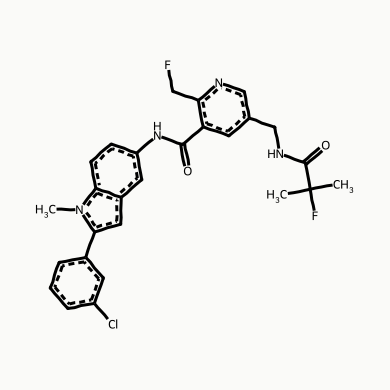 Cn1c(-c2cccc(Cl)c2)cc2cc(NC(=O)c3cc(CNC(=O)C(C)(C)F)cnc3CF)ccc21